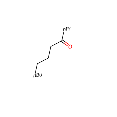 CCCCCCCC(=O)CCC